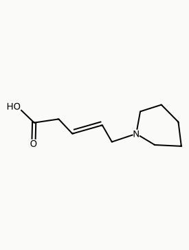 O=C(O)C/C=C/CN1CCCCC1